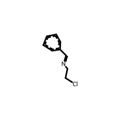 ClCCN=Cc1ccccc1